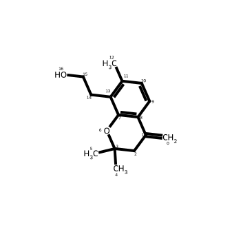 C=C1CC(C)(C)Oc2c1ccc(C)c2CCO